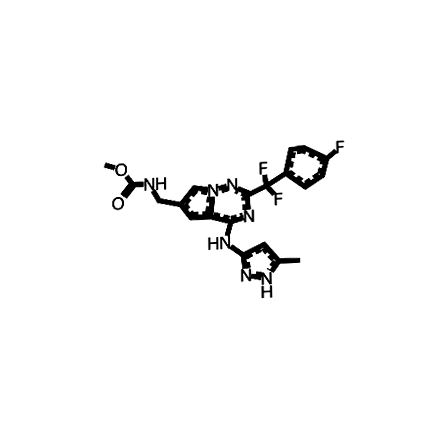 COC(=O)NCc1cc2c(Nc3cc(C)[nH]n3)nc(C(F)(F)c3ccc(F)cc3)nn2c1